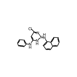 ClC1=NN(Nc2cccc3ccccc23)NC(Nc2ccccc2)=C1